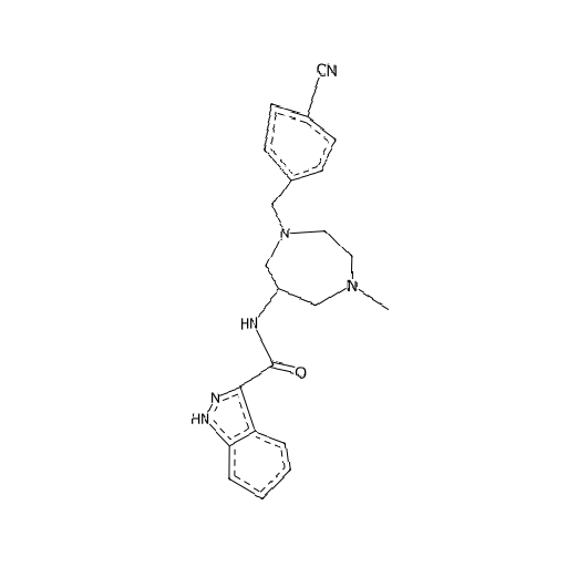 CN1CCN(Cc2ccc(C#N)cc2)CC(NC(=O)c2n[nH]c3ccccc23)C1